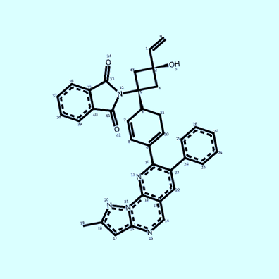 C=C[C@]1(O)C[C@](C2C=CC(c3nc4c(cnc5cc(C)nn54)cc3-c3ccccc3)=CC2)(N2C(=O)c3ccccc3C2=O)C1